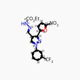 CCOC(=O)N/N=C/c1cn(-c2cccc(C(F)(F)F)c2)nc1-c1ccc([N+](=O)[O-])o1